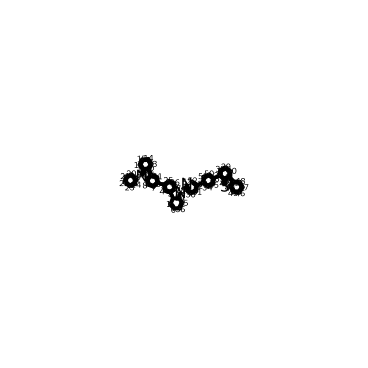 C1=CC2c3cc(-c4ccc5c(c4)c4ccccc4n5-c4ccccc4)ccc3N(c3ccc(-c4ccc(-c5cccc6c5sc5ccccc56)cc4)cn3)C2C=C1